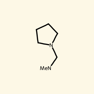 CNCN1CCCC1